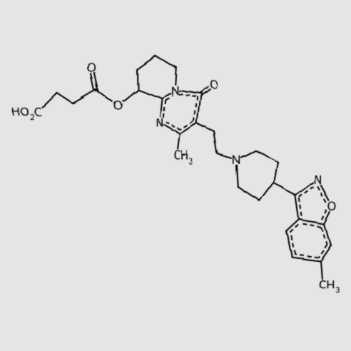 Cc1ccc2c(C3CCN(CCc4c(C)nc5n(c4=O)CCCC5OC(=O)CCC(=O)O)CC3)noc2c1